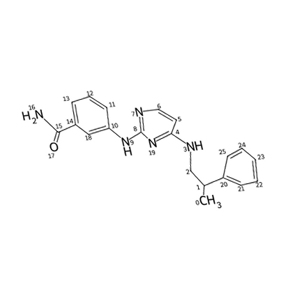 CC(CNc1ccnc(Nc2cccc(C(N)=O)c2)n1)c1ccccc1